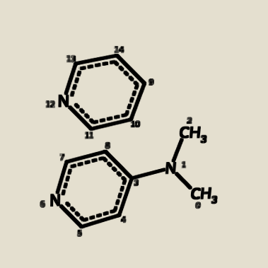 CN(C)c1ccncc1.c1ccncc1